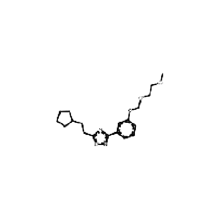 COCCOCOc1cccc(-c2noc(CCC3CCCC3)n2)c1